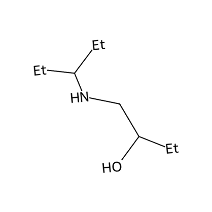 CCC(O)CNC(CC)CC